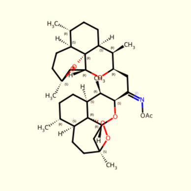 CC(=O)O/N=C(/C[C@H]1O[C@@H]2C[C@]3(C)CC[C@H]4[C@H](C)CC[C@@H]([C@H]1C)[C@@]24OO3)[C@H]1O[C@@H]2C[C@]3(C)CC[C@H]4[C@H](C)CC[C@@H]([C@H]1C)[C@@]24OO3